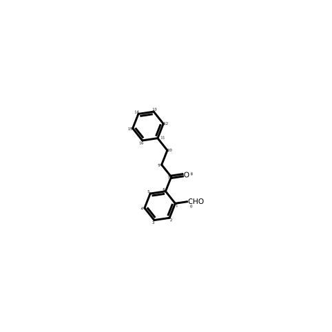 O=Cc1ccccc1C(=O)CCc1ccccc1